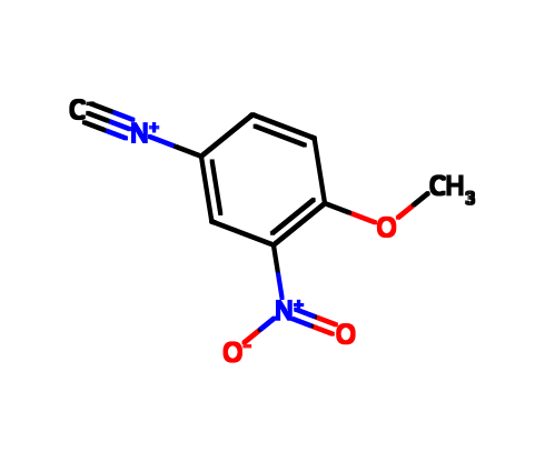 [C-]#[N+]c1ccc(OC)c([N+](=O)[O-])c1